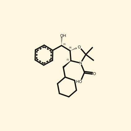 CC1(C)O[C@@H]([C@@H](O)c2ccccc2)[C@H](CC2CCCCC2)N1C(=O)O